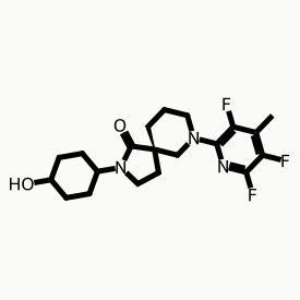 Cc1c(F)c(F)nc(N2CCC[C@]3(CCN(C4CCC(O)CC4)C3=O)C2)c1F